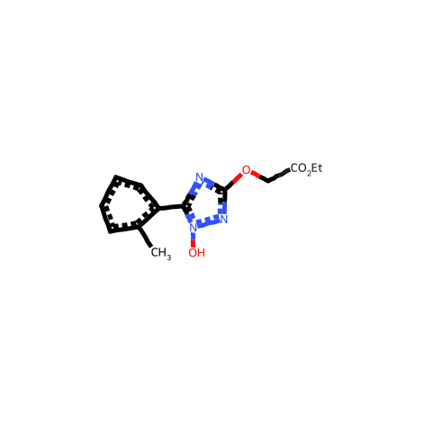 CCOC(=O)COc1nc(-c2ccccc2C)n(O)n1